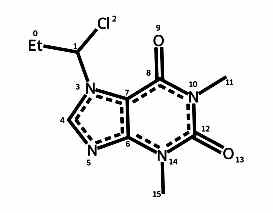 CCC(Cl)n1cnc2c1c(=O)n(C)c(=O)n2C